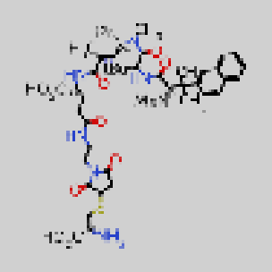 CN[C@H](C(=O)NC(C(=O)N(C)[C@H](/C=C(\C)C(=O)N[C@H](CCC(=O)NCCN1C(=O)CC(SC[C@H](N)C(=O)O)C1=O)C(=O)O)C(C)C)C(C)(C)C)C(C)(C)c1ccc2ccccc2c1